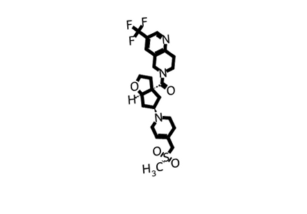 CS(=O)(=O)CC1=CCN([C@@H]2C[C@H]3OCC[C@@]3(C(=O)N3CCc4ncc(C(F)(F)F)cc4C3)C2)CC1